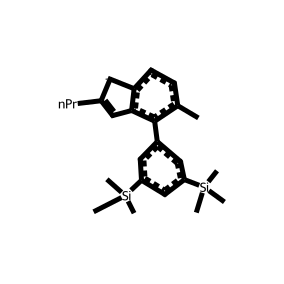 CCCC1=Cc2c(ccc(C)c2-c2cc([Si](C)(C)C)cc([Si](C)(C)C)c2)[CH]1